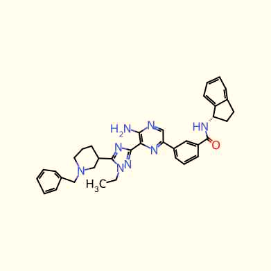 CCn1nc(-c2nc(-c3cccc(C(=O)N[C@H]4CCc5ccccc54)c3)cnc2N)nc1C1CCCN(Cc2ccccc2)C1